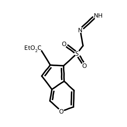 CCOC(=O)c1cc2coccc-2c1S(=O)(=O)CN=N